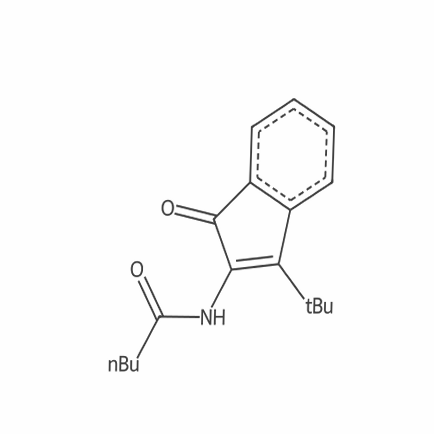 CCCCC(=O)NC1=C(C(C)(C)C)c2ccccc2C1=O